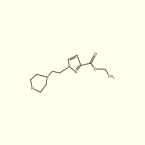 CCOC(=O)c1ccn(CCN2CCOCC2)n1